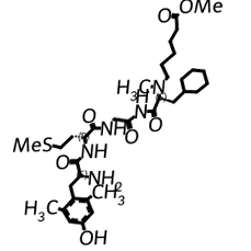 COC(=O)CCCCCN(C)[C@@H](CC1CCCCC1)C(=O)NC(=O)CNC(=O)[C@@H](CCSC)NC(=O)[C@@H](N)Cc1c(C)cc(O)cc1C